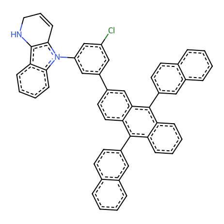 Clc1cc(-c2ccc3c(-c4ccc5ccccc5c4)c4ccccc4c(-c4ccc5ccccc5c4)c3c2)cc(-n2c3c(c4ccccc42)NCC=C3)c1